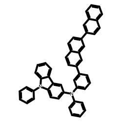 c1ccc(N(c2cccc(-c3ccc4ccc(-c5ccc6ccccc6c5)cc4c3)c2)c2ccc3c(c2)c2ccccc2n3-c2ccccc2)cc1